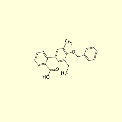 CCc1cc(-c2ccccc2C(=O)O)cc(C)c1OCc1ccccc1